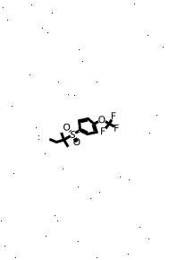 CCC(C)(C)S(=O)(=O)c1ccc(OC(F)(F)F)cc1